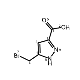 O=C(O)c1cc(CBr)[nH]n1